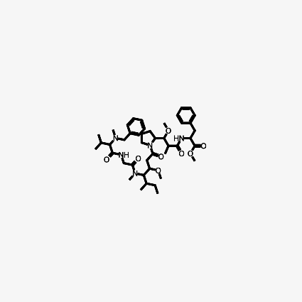 CCC(C)C(C(CC(=O)N1CCCC1C(OC)C(C)C(=O)NC(Cc1ccccc1)C(=O)OC)OC)N(C)C(=O)CNC(=O)C(C(C)C)N(C)Cc1ccccc1